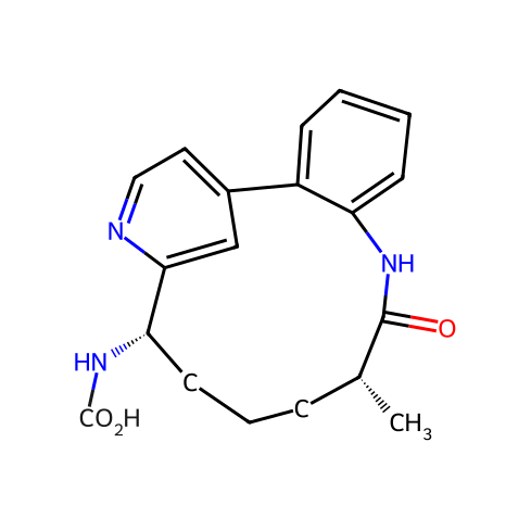 C[C@@H]1CCC[C@H](NC(=O)O)c2cc(ccn2)-c2ccccc2NC1=O